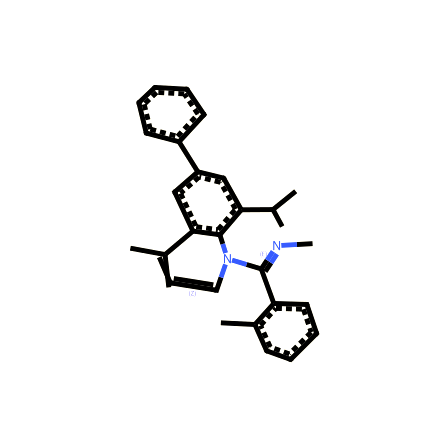 C/C=C\N(/C(=N/C)c1ccccc1C)c1c(C(C)C)cc(-c2ccccc2)cc1C(C)C